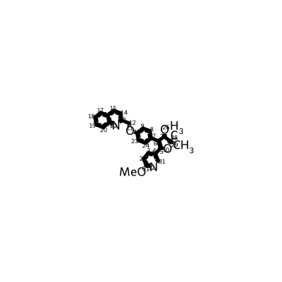 COc1ccc(C2=C(c3ccc(OCc4ccc5ccccc5n4)cc3)C(=O)C(C)(C)O2)cn1